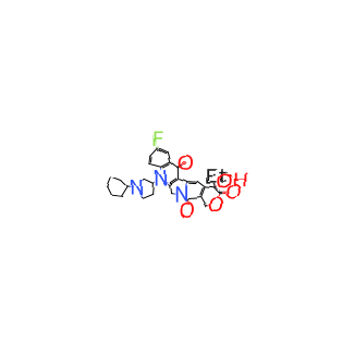 CC[C@@]1(O)C(=O)OCc2c1cc1n(c2=O)Cc2c-1c(=O)c1cc(F)ccc1n2[C@@H]1CCN(C2CCCCC2)C1